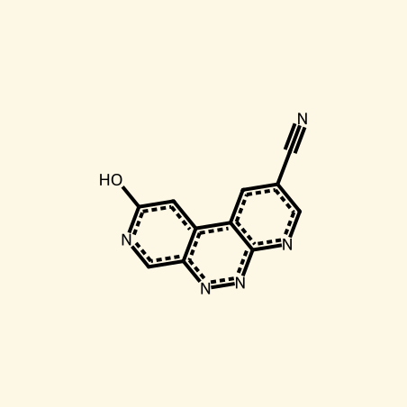 N#Cc1cnc2nnc3cnc(O)cc3c2c1